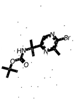 Cc1nc(C(C)(C)NC(=O)OC(C)(C)C)cnc1Br